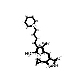 Cc1[nH]c(C=C2C(=O)NN=C2C2CC2)c(C(C)C)c1CCCCN1CCCCC1